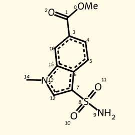 COC(=O)c1ccc2c(S(N)(=O)=O)cn(C)c2c1